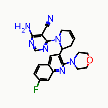 N#Cc1c(N)ncnc1N1CC=CCC1c1cc2ccc(F)cc2nc1N1CCOCC1